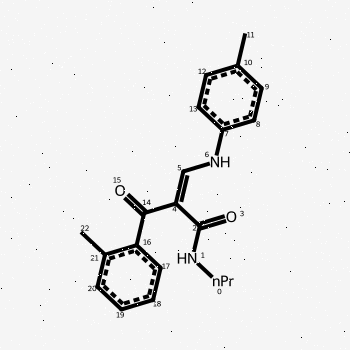 CCCNC(=O)/C(=C\Nc1ccc(C)cc1)C(=O)c1ccccc1C